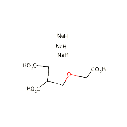 O=C(O)COCC(CC(=O)O)C(=O)O.[NaH].[NaH].[NaH]